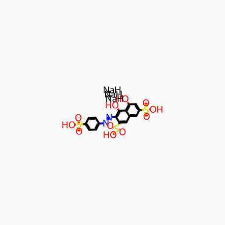 O=S(=O)(O)c1ccc(/N=N/c2c(S(=O)(=O)O)cc3cc(S(=O)(=O)O)cc(O)c3c2O)cc1.[NaH].[NaH].[NaH]